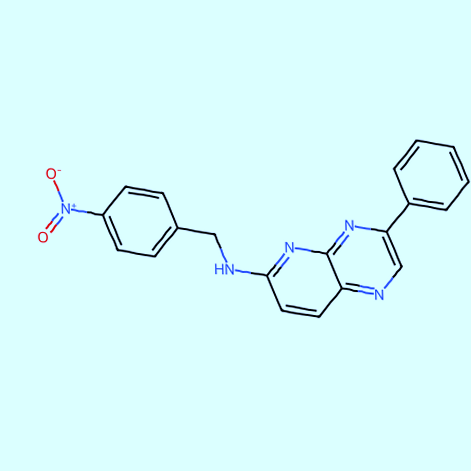 O=[N+]([O-])c1ccc(CNc2ccc3ncc(-c4ccccc4)nc3n2)cc1